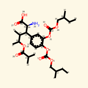 CCC(C)COC(=O)Oc1ccc(C(C(C)C(C)OC(=O)C(C)C)[C@H](N)C(=O)O)cc1OC(=O)OCC(C)CC